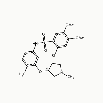 COc1cc(Cl)c(S(=O)(=O)Nc2ccc(C)c(O[C@@H]3CCN(C)C3)c2)cc1OC